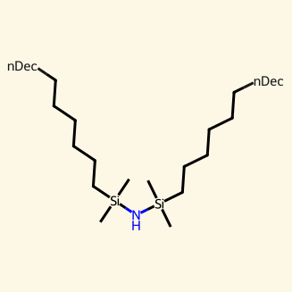 CCCCCCCCCCCCCCCC[Si](C)(C)N[Si](C)(C)CCCCCCCCCCCCCCCC